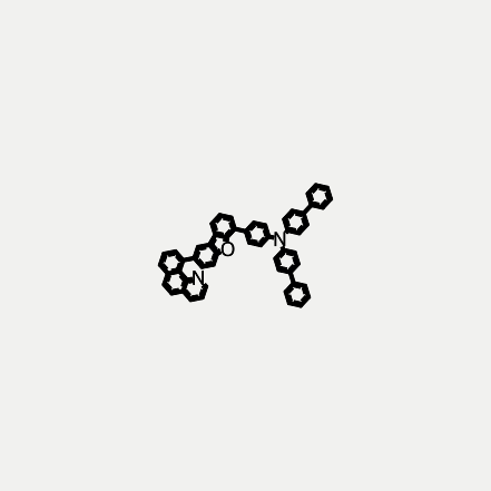 c1ccc(-c2ccc(N(c3ccc(-c4ccccc4)cc3)c3ccc(-c4cccc5c4oc4ccc(-c6cccc7ccc8cccnc8c67)cc45)cc3)cc2)cc1